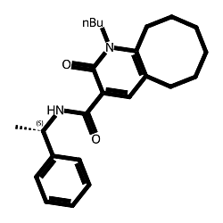 CCCCn1c2c(cc(C(=O)N[C@@H](C)c3ccccc3)c1=O)CCCCCC2